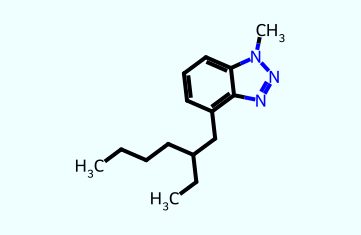 CCCCC(CC)Cc1cccc2c1nnn2C